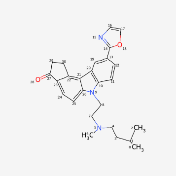 CC(C)CCN(C)CCn1c2ccc(-c3ncco3)cc2c2c3c(ccc21)C(=O)CC3